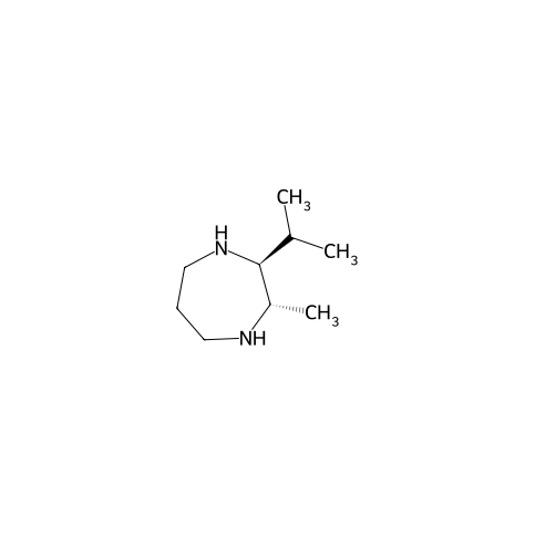 CC(C)[C@@H]1NCCCN[C@H]1C